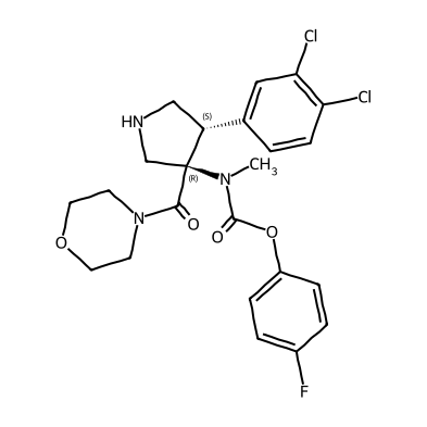 CN(C(=O)Oc1ccc(F)cc1)[C@@]1(C(=O)N2CCOCC2)CNC[C@@H]1c1ccc(Cl)c(Cl)c1